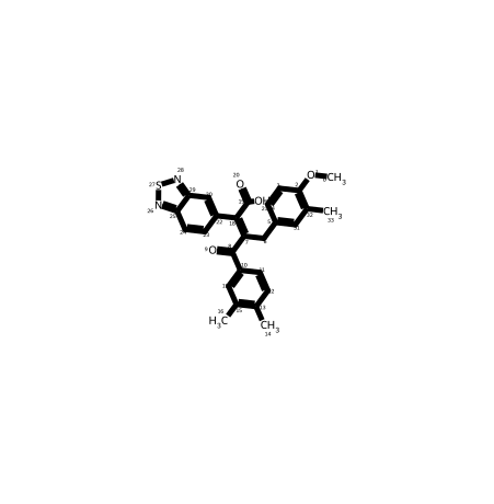 COc1ccc(CC(C(=O)c2ccc(C)c(C)c2)=C(C(=O)O)c2ccc3nsnc3c2)cc1C